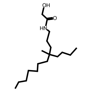 CCCCCCCC(C)(CCCC)CCCNC(=O)CO